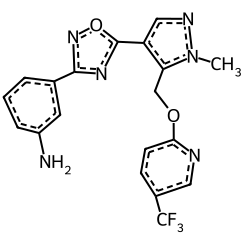 Cn1ncc(-c2nc(-c3cccc(N)c3)no2)c1COc1ccc(C(F)(F)F)cn1